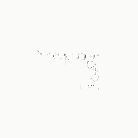 CCCNc1nc(Nc2ccc(C(N)=O)cc2)ncc1-c1cccc(CCNC(=O)CNC(=O)/C=C/CN(C)C)c1